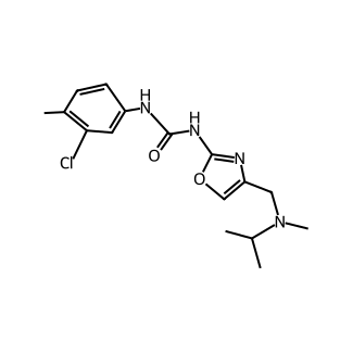 Cc1ccc(NC(=O)Nc2nc(CN(C)C(C)C)co2)cc1Cl